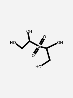 O=S(=O)(C(O)CO)C(O)CO